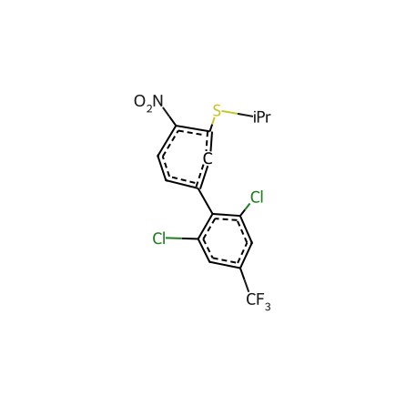 CC(C)Sc1cc(-c2c(Cl)cc(C(F)(F)F)cc2Cl)ccc1[N+](=O)[O-]